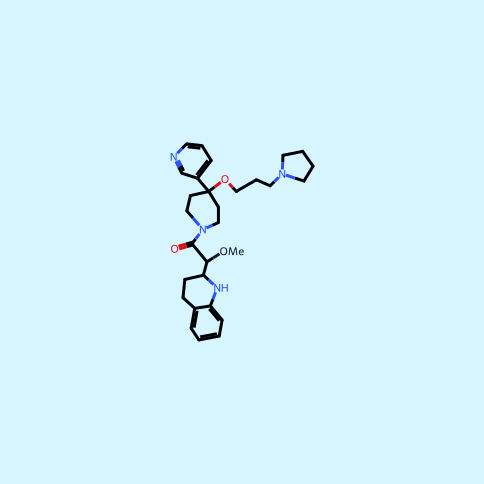 COC(C(=O)N1CCC(OCCCN2CCCC2)(c2cccnc2)CC1)C1CCc2ccccc2N1